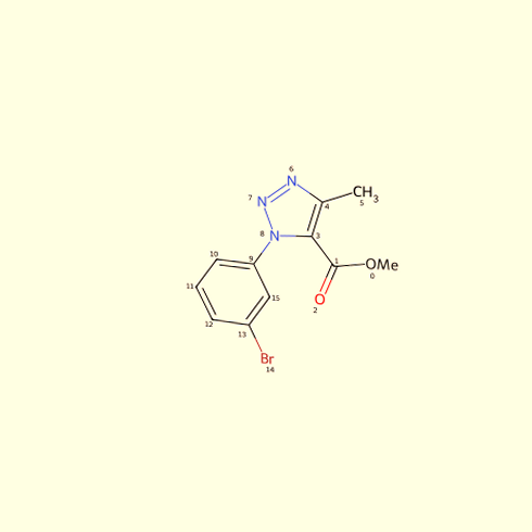 COC(=O)c1c(C)nnn1-c1cccc(Br)c1